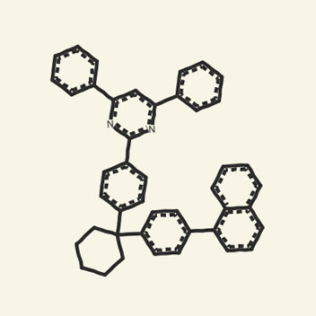 c1ccc(-c2cc(-c3ccccc3)nc(-c3ccc(C4(c5ccc(-c6cccc7ccccc67)cc5)CCCCC4)cc3)n2)cc1